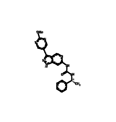 COc1ncc(-c2n[nH]c3cc(NC(=O)N[C@H](C)c4ccccc4)ncc23)cn1